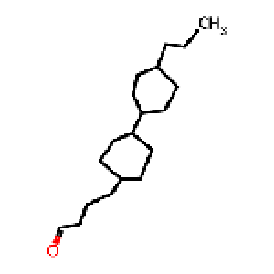 CCCC1CCC(C2CCC(CCCC=O)CC2)CC1